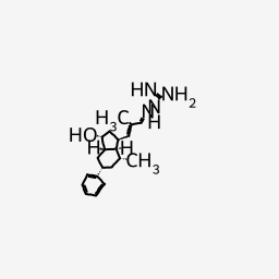 CC(/C=N/NC(=N)N)=C\[C@@H]1C[C@@H](O)[C@H]2C[C@@H](c3ccccc3)C[C@@H](C)[C@@H]21